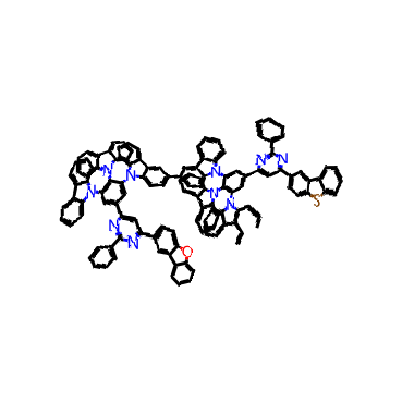 C=Cc1c(/C=C\C)n(-c2cc(-c3cc(-c4ccc5sc6ccccc6c5c4)nc(-c4ccccc4)n3)cc(-n3c4ccccc4c4cc(-c5ccc6c(c5)c5ccccc5n6-c5cc(-c6cc(-c7ccc8oc9ccccc9c8c7)nc(-c7ccccc7)n6)cc(-n6c7ccccc7c7ccccc76)c5-n5c6ccccc6c6ccccc65)ccc43)c2-n2c3ccccc3c3ccccc32)c2ccccc12